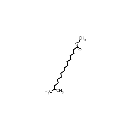 CCOC(=O)CCCCCCCCCCCCCC(C)C